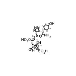 NC(=O)C(c1ccc(O)cc1)n1nnnc1SCC1=C(C(=O)O)N2C(=O)[C@@H]3[C@H]2[C@@H](CN3C(=O)O)O1